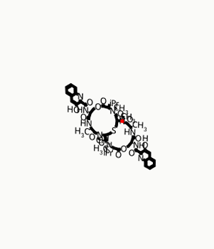 CC(C)C1C(=O)OC[C@@H](NC(=O)c2nc3ccccc3cc2O)C(=O)N[C@@H](C)C(=O)N(C)[C@H]2CSC[C@@H](C(=O)N1C)N(C)C(=O)[C@H](C)NC(=O)[C@H](NC(=O)c1nc3ccccc3cc1O)COC(=O)[C@H](C(C)C)N(C)C2=O